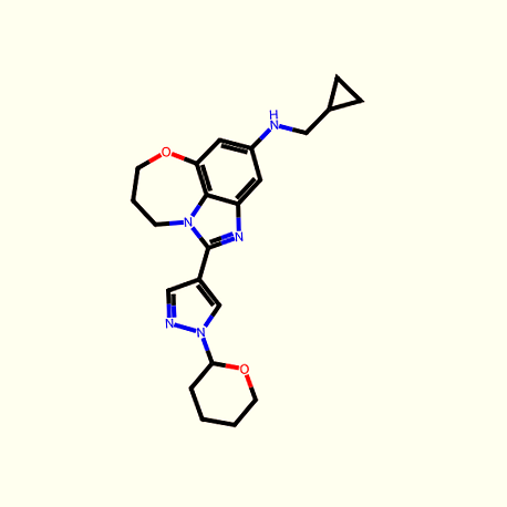 c1nn(C2CCCCO2)cc1-c1nc2cc(NCC3CC3)cc3c2n1CCCO3